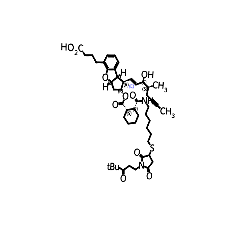 CC#CC[C@H](C)[C@H](O)/C=C/[C@@H]1[C@H]2c3cccc(CCCC(=O)O)c3O[C@H]2C[C@H]1OC(=O)[C@H]1CCCC[C@H]1C(=O)NCCCCCCSC1CC(=O)N(CCC(=O)C(C)(C)C)C1=O